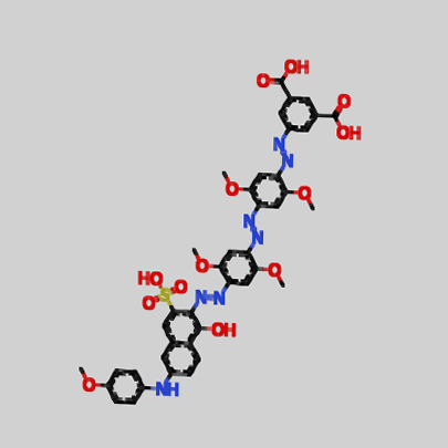 COc1ccc(Nc2ccc3c(O)c(N=Nc4cc(OC)c(N=Nc5cc(OC)c(N=Nc6cc(C(=O)O)cc(C(=O)O)c6)cc5OC)cc4OC)c(S(=O)(=O)O)cc3c2)cc1